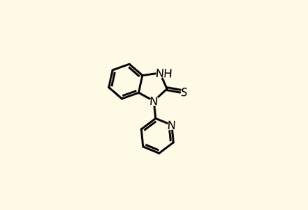 S=c1[nH]c2ccccc2n1-c1ccccn1